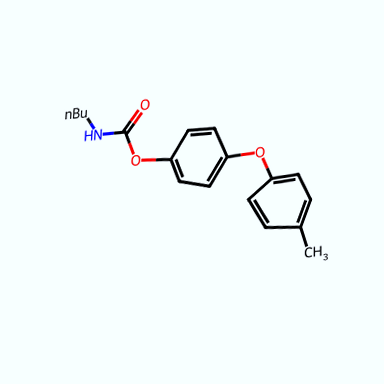 CCCCNC(=O)Oc1ccc(Oc2ccc(C)cc2)cc1